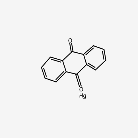 O=C1c2ccccc2C(=O)c2ccccc21.[Hg]